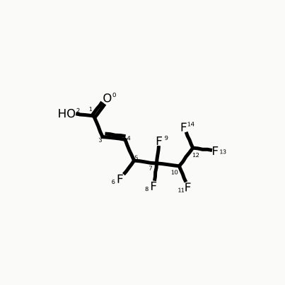 O=C(O)C=CC(F)C(F)(F)C(F)C(F)F